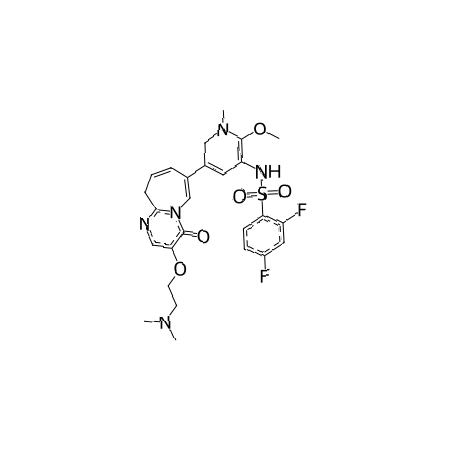 COC1=C(NS(=O)(=O)c2ccc(F)cc2F)C=C(C2=Cn3c(ncc(OCCN(C)C)c3=O)CC=C2)CN1C